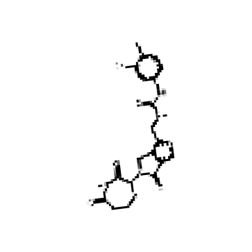 Cc1ccc(NC(=O)NCc2scc3c2CN(C2CCCC(=O)NC2=O)C3=O)cc1Cl